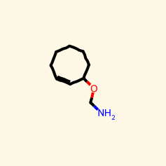 NCOC1/C=C\CCCCC1